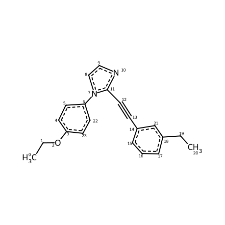 CCOc1ccc(-n2ccnc2C#Cc2cccc(CC)c2)cc1